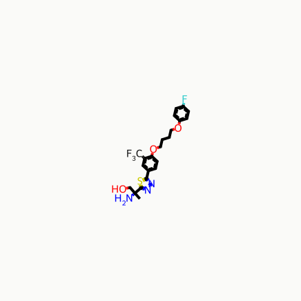 CC(N)(CO)c1nnc(-c2ccc(OCCCCOc3ccc(F)cc3)c(C(F)(F)F)c2)s1